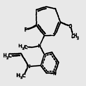 C=CN(C)c1cnccc1N(C)C1=C(F)C=CCC(OC)=C1